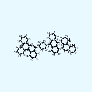 c1cnc2c(c1)ccc1c(-c3c4ccccc4c(-c4ccc(-c5nc6c7ccccc7c7ccccc7c6c6ccccc56)cc4)c4ccccc34)ccnc12